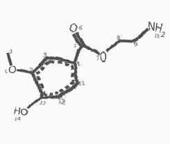 COc1cc(C(=O)OCCN)ccc1O